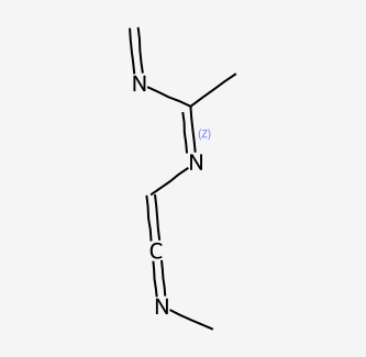 C=N/C(C)=N\C=C=NC